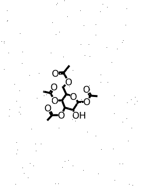 CC(=O)OCC1OC(OC(C)=O)C(O)C(OC(C)=O)C1OC(C)=O